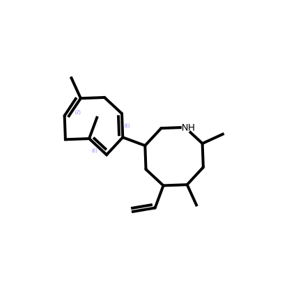 C=CC1CC(C2=C/C/C(C)=C\C\C(C)=C\2)CNC(C)CC1C